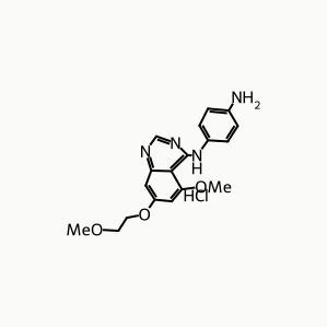 COCCOc1cc(OC)c2c(Nc3ccc(N)cc3)ncnc2c1.Cl